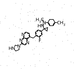 CC1=CC=C(N(C)NC2(c3ccc(Cc4ccnc5nc(N6CCNC6)cnc45)c(F)c3)CC2)CC1